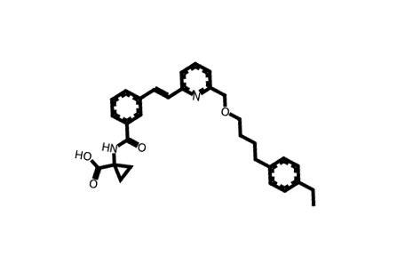 CCc1ccc(CCCCOCc2cccc(/C=C/c3cccc(C(=O)NC4(C(=O)O)CC4)c3)n2)cc1